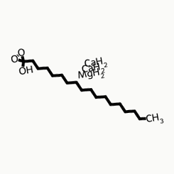 CCCCCCCCCCCCCCCCCC1(O)OO1.[CaH2].[CaH2].[MgH2]